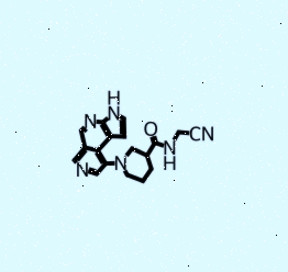 N#CCNC(=O)C1CCCN(c2cncc3cnc4[nH]ccc4c23)C1